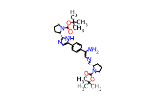 CC(C)(C)OC(=O)N1CCC[C@H]1/C=N/C=C(\N)c1ccc(-c2cnc([C@@H]3CCCN3C(=O)OC(C)(C)C)[nH]2)cc1